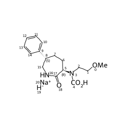 COCCN(C(=O)O)[C@@H]1CC[C@@H](c2ccccc2)CNC1=O.[H-].[Na+]